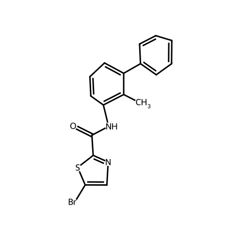 Cc1c(NC(=O)c2ncc(Br)s2)cccc1-c1ccccc1